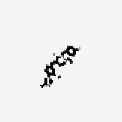 CCN1CC/C(=C\c2ccc(-n3cnc(C)c3)c(OC)c2)C(=O)N1Cc1ccc(F)cc1